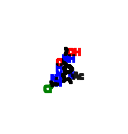 CC(=O)N1c2ccc(C(=O)NCC(C)O)cc2C(Nc2ncc(Cl)cn2)C(C)C1C